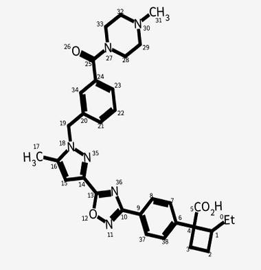 CCC1CCC1(C(=O)O)c1ccc(-c2noc(-c3cc(C)n(Cc4cccc(C(=O)N5CCN(C)CC5)c4)n3)n2)cc1